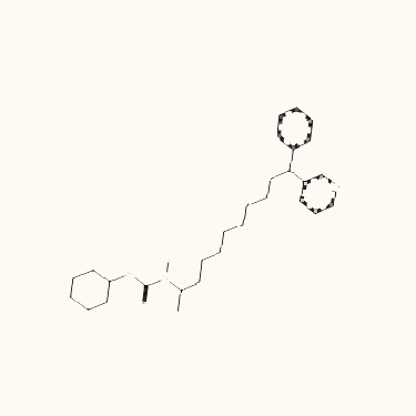 CC(CCCCCCCCC(c1ccccc1)c1cccnc1)N(O)C(=O)NC1CCCCC1